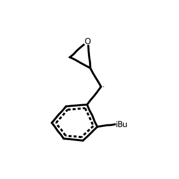 CCC(C)c1ccccc1[CH]C1CO1